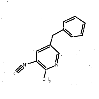 [C-]#[N+]c1cc(Cc2ccccc2)cnc1C